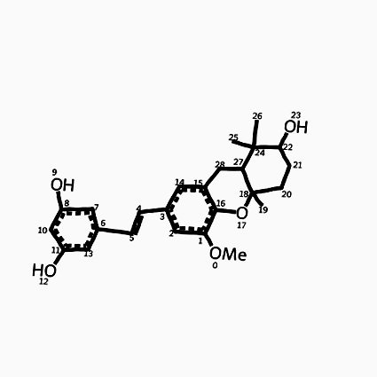 COc1cc(/C=C/c2cc(O)cc(O)c2)cc2c1OC1(C)CCC(O)C(C)(C)C1C2